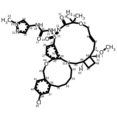 CO[C@H]1/C=C/COC(C)(C)C(=O)N=[S@](=O)(NC(=O)Nc2cnn(C)c2)c2ccc3c(c2)N(CCCCc2cc(Cl)ccc2CO3)C[C@@H]2CC[C@H]21